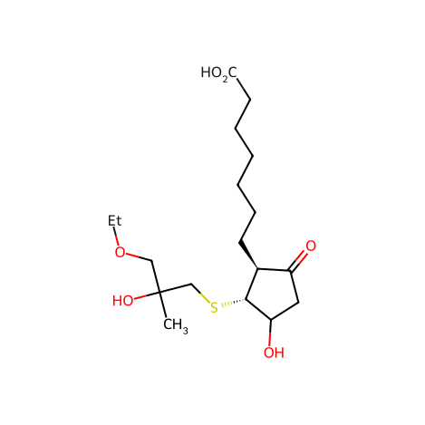 CCOCC(C)(O)CS[C@H]1C(O)CC(=O)[C@@H]1CCCCCCC(=O)O